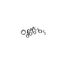 CSc1nnc(OS(=O)(=O)c2ccccc2)o1